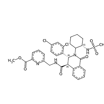 COC(=O)c1cccc(CNC(=O)[C@@H]2c3ccccc3C(=O)N(C3CCCC[C@@H]3NS(C)(=O)=O)[C@H]2c2ccc(Cl)cc2Cl)n1